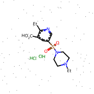 CCc1ncc(S(=O)(=O)N2CCN(CC)CC2)cc1C(=O)O.Cl.Cl